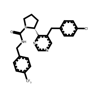 O=C(NCc1ccc(C(F)(F)F)cc1)N1CCC[C@@H]1c1ncncc1Cc1ccc(Cl)cc1